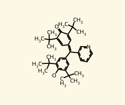 CC(C)(C)C1=CC(=C(c2cccnc2)c2cc(C(C)(C)C)c([O])c(C(C)(C)C)c2)C=C(C(C)(C)C)C1=O